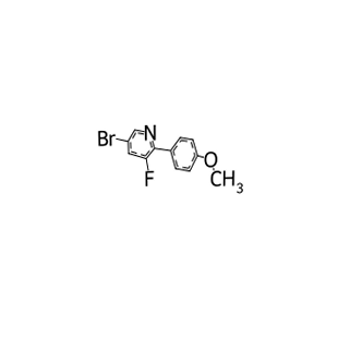 COc1ccc(-c2ncc(Br)cc2F)cc1